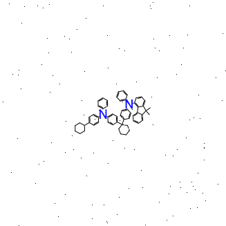 CC1(C)c2ccccc2-c2c(N(c3ccccc3)c3ccc(C4(c5ccc(N(c6ccccc6)c6ccc(C7CCCCC7)cc6)cc5)CCCCC4)cc3)cccc21